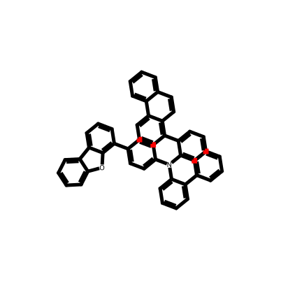 c1ccc(-c2ccccc2N(c2ccc(-c3cccc4c3oc3ccccc34)cc2)c2ccccc2-c2cccc3c2ccc2ccccc23)cc1